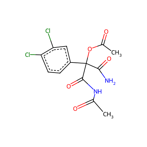 CC(=O)NC(=O)C(OC(C)=O)(C(N)=O)c1ccc(Cl)c(Cl)c1